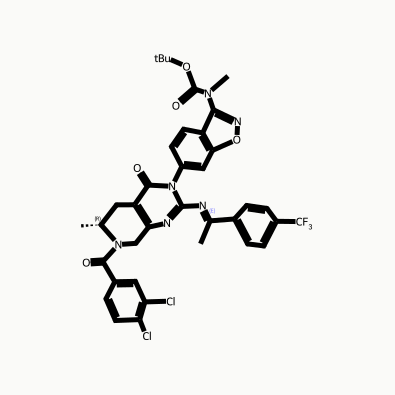 C/C(=N\c1nc2c(c(=O)n1-c1ccc3c(N(C)C(=O)OC(C)(C)C)noc3c1)C[C@@H](C)N(C(=O)c1ccc(Cl)c(Cl)c1)C2)c1ccc(C(F)(F)F)cc1